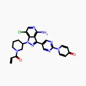 C=CC(=O)N1CCCC(n2nc(-c3cnc(-n4ccc(=O)cc4)nc3)c3c(N)ncc(Cl)c32)C1